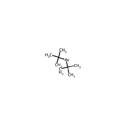 CC(C)(C)[As]C(C)(C)C